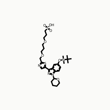 CC(C)(C)[Si](C)(C)Oc1ccc2c(c1)c(-c1cnc(COCCCOCCCS(=O)(=O)O)s1)nn2C1CCCCO1